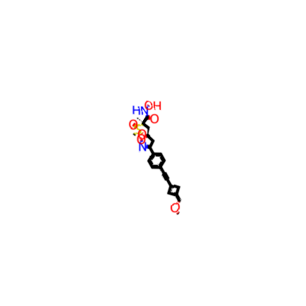 COCC1CC(C#Cc2ccc(C3=NO[C@@H](C[C@](C)(C(=O)NO)S(C)(=O)=O)C3)cc2)C1